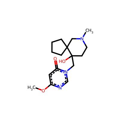 COc1cc(=O)n(CC2(O)CCN(C)CC23CCCC3)cn1